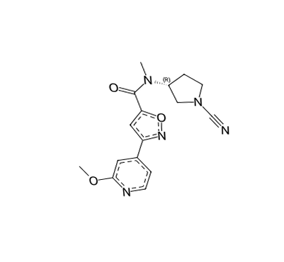 COc1cc(-c2cc(C(=O)N(C)[C@@H]3CCN(C#N)C3)on2)ccn1